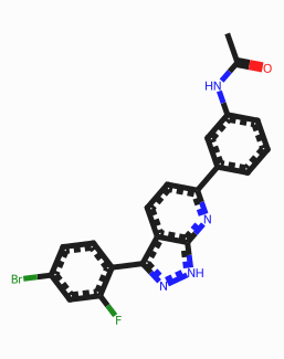 CC(=O)Nc1cccc(-c2ccc3c(-c4ccc(Br)cc4F)n[nH]c3n2)c1